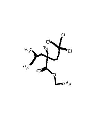 CCOC(=O)C(Br)(CC(Cl)(Cl)Cl)C(C)C